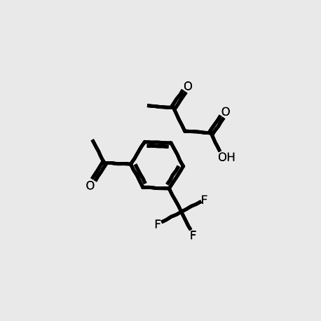 CC(=O)CC(=O)O.CC(=O)c1cccc(C(F)(F)F)c1